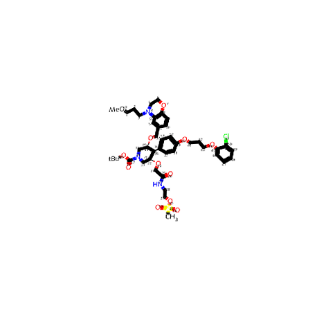 COCCCN1CCOc2ccc(CO[C@H]3CN(C(=O)OC(C)(C)C)C[C@@H](OCC(=O)NCCOS(C)(=O)=O)[C@@H]3c3ccc(OCCCOc4ccccc4Cl)cc3)cc21